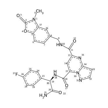 Cn1c(=O)oc2ccc(CNC(=O)c3cc(C(=O)N[C@@H](C(N)=O)c4ccc(F)cc4)n4nccc4n3)cc21